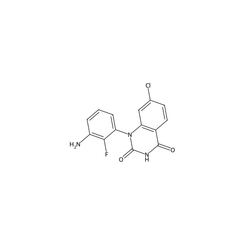 Nc1cccc(-n2c(=O)[nH]c(=O)c3ccc(Cl)cc32)c1F